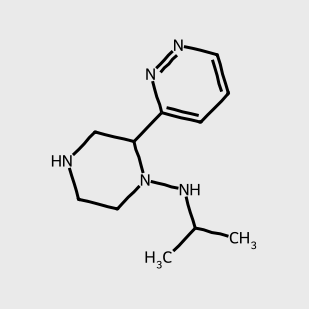 CC(C)NN1CCNCC1c1cccnn1